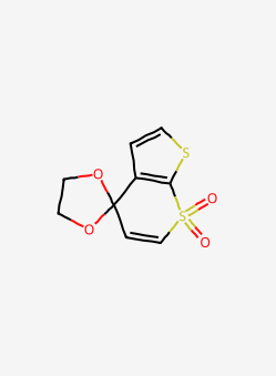 O=S1(=O)C=CC2(OCCO2)c2ccsc21